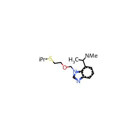 CNC(C)c1cccc2ncn(COCCSC(C)C)c12